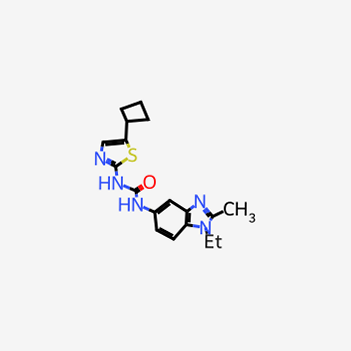 CCn1c(C)nc2cc(NC(=O)Nc3ncc(C4CCC4)s3)ccc21